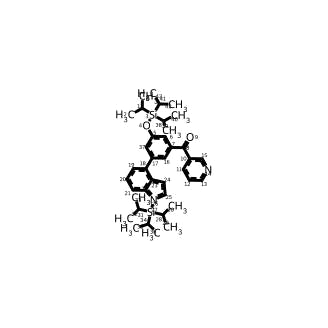 CC(C)[Si](Oc1cc(C(=O)c2cccnc2)cc(-c2cccc3c2ccn3[Si](C(C)C)(C(C)C)C(C)C)c1)(C(C)C)C(C)C